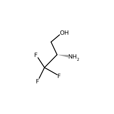 N[C@@H](CO)C(F)(F)F